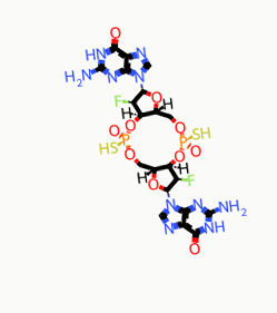 Nc1nc2c(ncn2[C@@H]2O[C@@H]3CO[P@@](=O)(S)O[C@H]4[C@@H](F)[C@H](n5cnc6c(=O)[nH]c(N)nc65)O[C@@H]4CO[P@@](=O)(S)O[C@H]3[C@H]2F)c(=O)[nH]1